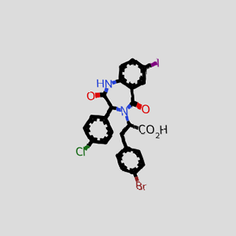 O=C(O)C(Cc1ccc(Br)cc1)N1C(=O)c2cc(I)ccc2NC(=O)C1c1ccc(Cl)cc1